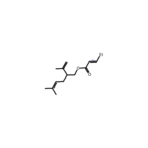 C=C(C)C(CC=C(C)C)COC(=O)/C=C/CC